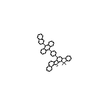 CC1(C)c2ccccc2-c2cc(-c3ccc(-c4c5ccccc5c(-c5ccc6ccccc6c5)c5ccccc45)cc3)c3c(sc4c5ccccc5ccc43)c21